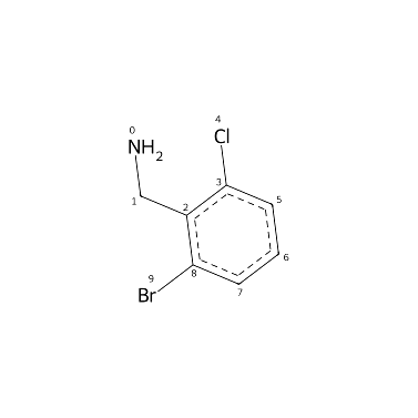 NCc1c(Cl)cccc1Br